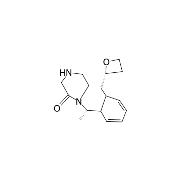 C[C@@H](C1C=CC=CC1C[C@H]1CCO1)N1CCNCC1=O